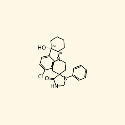 O=C1NCN(c2ccccc2)C12CCN([C@@H]1CCCC[C@]1(O)c1ccc(Cl)cc1)CC2